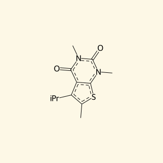 Cc1sc2c(c1C(C)C)c(=O)n(C)c(=O)n2C